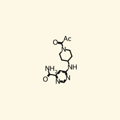 CC(=O)C(=O)N1CCC(Nc2cc(C(N)=O)ncn2)CC1